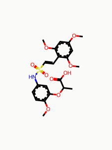 COc1cc(OC)c(C=CS(=O)(=O)Nc2ccc(OC)c(OC(C)C(=O)O)c2)c(OC)c1